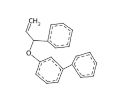 C=CC(Oc1cccc(-c2ccccc2)c1)c1ccccc1